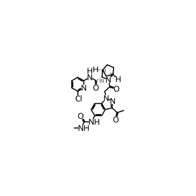 CNC(=O)Nc1ccc2c(c1)c(C(C)=O)nn2CC(=O)N1[C@H]2CC[C@@H](C2)[C@H]1C(=O)Nc1cccc(Cl)n1